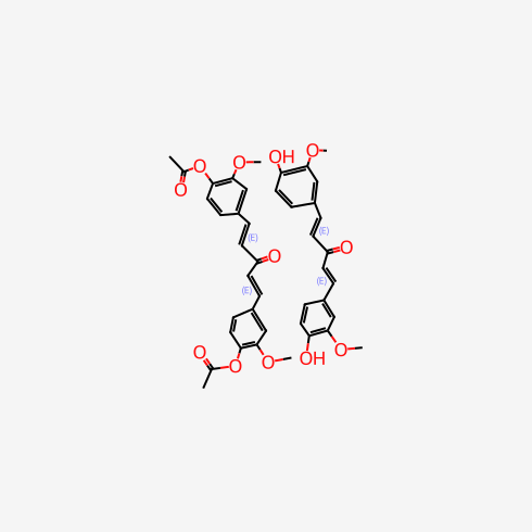 COc1cc(/C=C/C(=O)/C=C/c2ccc(O)c(OC)c2)ccc1O.COc1cc(/C=C/C(=O)/C=C/c2ccc(OC(C)=O)c(OC)c2)ccc1OC(C)=O